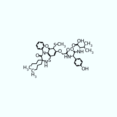 CCCCC1(CCCC)NSC2=C(C(=O)C(SC)C(OCC(=O)N[C@@H](C(=O)N[C@H](C(=O)O)C(C)C)c3ccc(O)cc3)=C2)N(c2ccccc2)C1=O